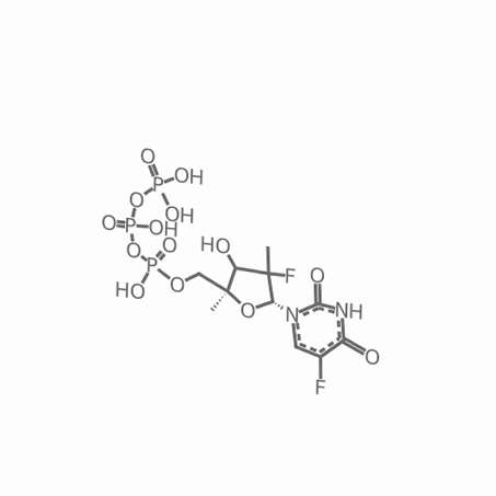 CC1(F)C(O)[C@](C)(COP(=O)(O)OP(=O)(O)OP(=O)(O)O)O[C@H]1n1cc(F)c(=O)[nH]c1=O